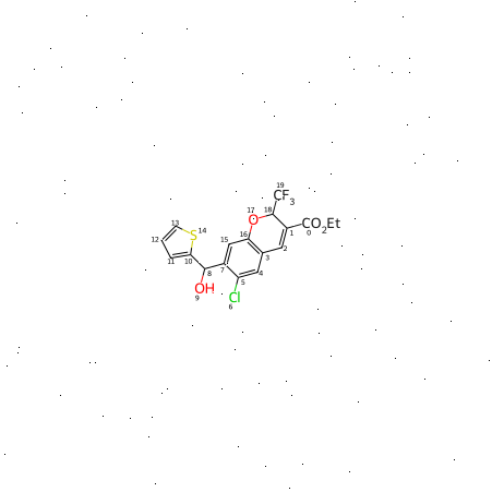 CCOC(=O)C1=Cc2cc(Cl)c(C(O)c3cccs3)cc2OC1C(F)(F)F